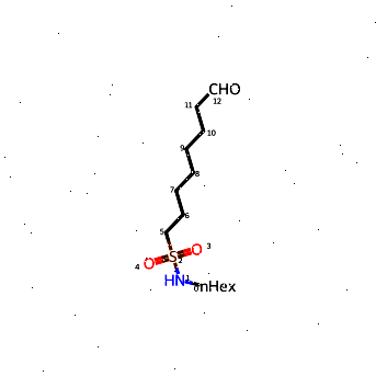 CCCCCCNS(=O)(=O)CCCCCCCC=O